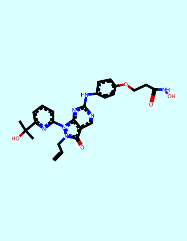 C=CCn1c(=O)c2cnc(Nc3ccc(OCCC(=O)NO)cc3)nc2n1-c1cccc(C(C)(C)O)n1